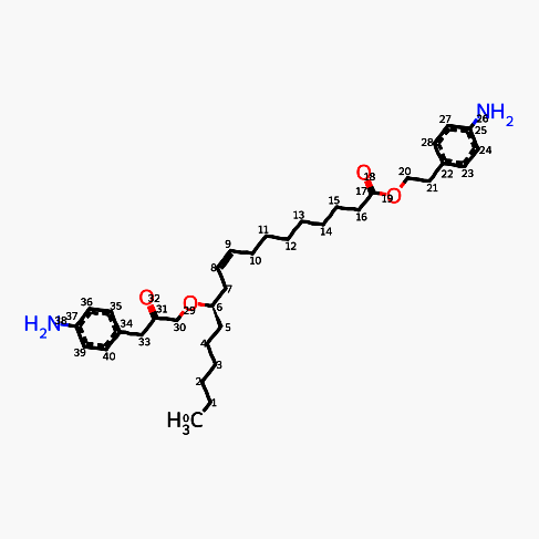 CCCCCC[C@H](C/C=C\CCCCCCCC(=O)OCCc1ccc(N)cc1)OCC(=O)Cc1ccc(N)cc1